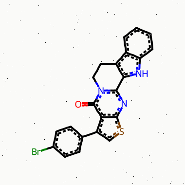 O=c1c2c(-c3ccc(Br)cc3)csc2nc2n1CCc1c-2[nH]c2ccccc12